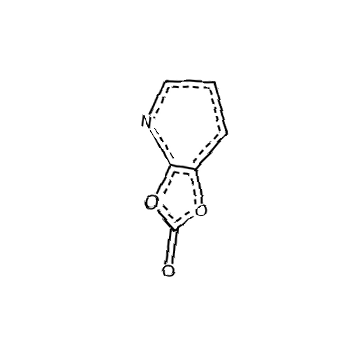 O=c1oc2cccnc2o1